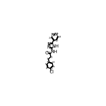 O=C(CCc1ccc(Cl)cc1)Nc1nnc(-c2ccnnc2)[nH]1